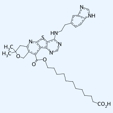 CC1(C)Cc2nc3sc4c(NCCc5ccc6[nH]cnc6c5)ncnc4c3c(C(=O)OCCCCCCCCCCCC(=O)O)c2CO1